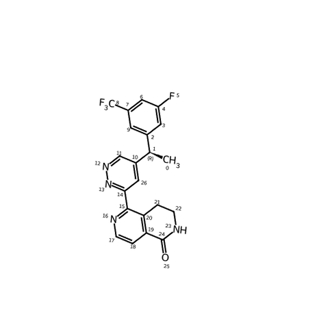 C[C@H](c1cc(F)cc(C(F)(F)F)c1)c1cnnc(-c2nccc3c2CCNC3=O)c1